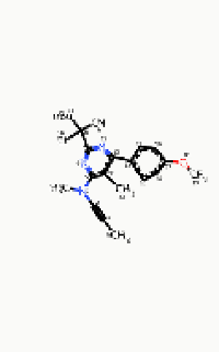 CC#CN(C)c1nc(C(C#N)(CC)CCCC)nc(-c2ccc(OC(F)(F)F)cc2)c1C